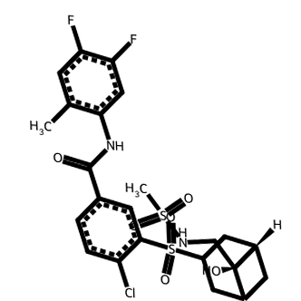 Cc1cc(F)c(F)cc1NC(=O)c1ccc(Cl)c(S(=O)(=O)C2CC3C[C@@H](C2)[C@@]3(O)CNS(C)(=O)=O)c1